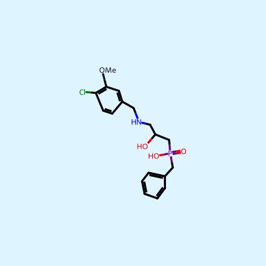 COc1cc(CNCC(O)CP(=O)(O)Cc2ccccc2)ccc1Cl